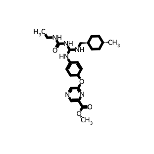 CCNC(=O)NC(NC[C@H]1CC[C@H](C)CC1)NC1=CCC(Oc2cncc(C(=O)OC)n2)C=C1